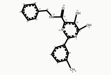 Cc1cccc(-c2nc(O)c(O)c(C(=O)NCc3ccccc3)n2)c1